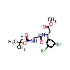 COC(=O)C[C@H](NC(=O)CNC(=O)OC(C)(C)C)c1cc(Br)cc(Br)c1